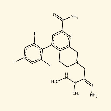 CNN(C)/C(=C\N)CN1CCc2c(-c3c(F)cc(F)cc3F)cc(C(N)=O)nc2C1